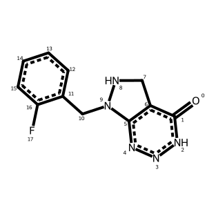 O=c1[nH]nnc2c1CNN2Cc1ccccc1F